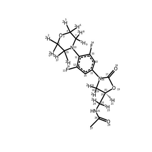 [2H]C1([2H])OC([2H])([2H])C([2H])([2H])N(c2c(F)cc(N3C(=O)O[C@@]([2H])(C([2H])([2H])NC(C)=O)C3([2H])[2H])cc2F)C1([2H])[2H]